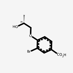 C[C@@H](O)COc1ccc(C(=O)O)cc1Br